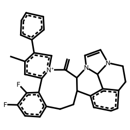 C=C1C2C(CCc3ccc(F)c(F)c3-c3cc(C)c(-c4ccccc4)c[n+]31)c1cccc3c1C1N(C=CN21)CC3